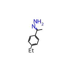 CCc1ccc(C(C)=NN)cc1